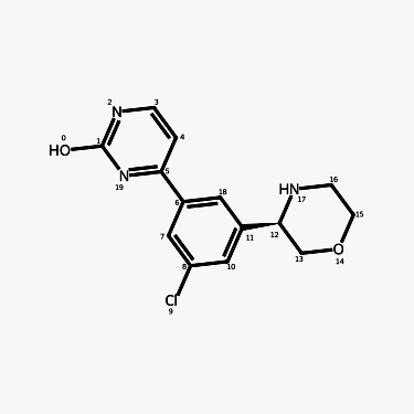 Oc1nccc(-c2cc(Cl)cc([C@@H]3COCCN3)c2)n1